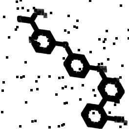 NC(=O)c1cc(Oc2cccc(Nc3cc(-c4ccccc4N)ncn3)c2)ccn1